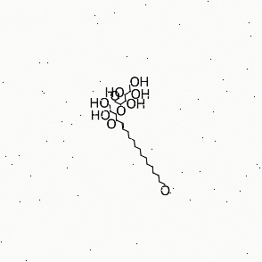 COCCCCCCCCCCCCCC=CC(=O)C(O[C@@H](C=O)[C@@H](O)[C@H](O)[C@H](O)CO)C(O)CO